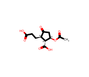 CC(=O)O[C@@H]1CC(=O)[C@H](CCC(=O)O)[C@H]1C(=O)O